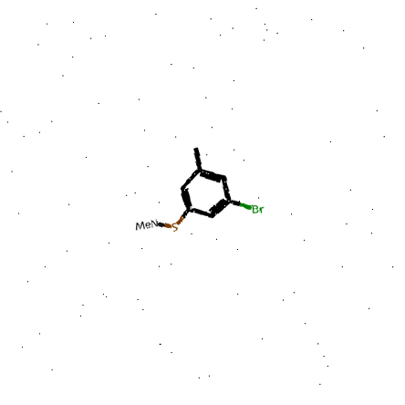 CNSc1cc(C)cc(Br)c1